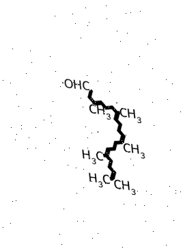 CC(C)=CCCC(C)=CCCC(C)=CCCC=C(C)CCC=C(C)CC[C]=O